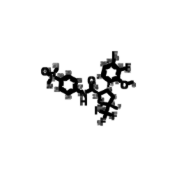 COc1c([C@@H]2C[C@](C)(C(F)(F)F)S[C@H]2C(=O)Nc2ccc(P(C)(C)=O)cc2)ccc(F)c1F